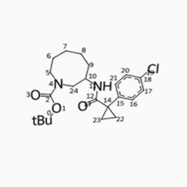 CC(C)(C)OC(=O)N1CCCCCC(NC(=O)C2(c3ccc(Cl)cc3)CC2)C1